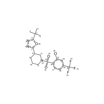 CC(C)(C)c1nnc(C2CCCN(S(=O)(=O)c3ccc(C(F)(F)F)cc3Cl)C2)o1